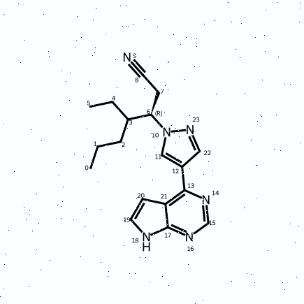 CCCC(CC)[C@@H](CC#N)n1cc(-c2ncnc3[nH]ccc23)cn1